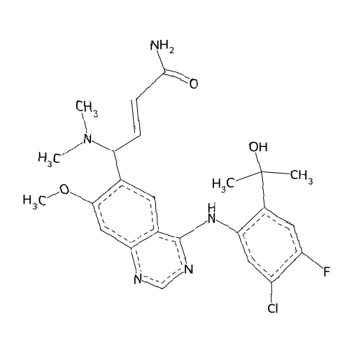 COc1cc2ncnc(Nc3cc(Cl)c(F)cc3C(C)(C)O)c2cc1C(C=CC(N)=O)N(C)C